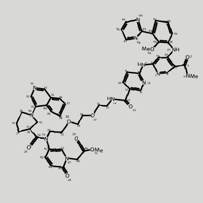 CNC(=O)c1cnc(Nc2ccc(C(=O)NCCOCCOCCN(C(=O)[C@H]3CCCN(c4cncc5ccccc45)C3)c3ccc(=O)n(CC(=O)OC)c3)cn2)cc1Nc1cccc(-c2ncccn2)c1OC